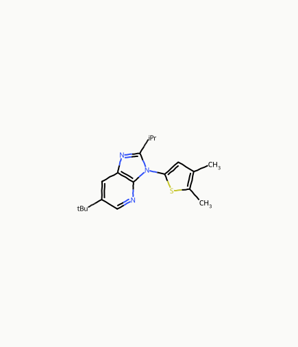 Cc1cc(-n2c(C(C)C)nc3cc(C(C)(C)C)cnc32)sc1C